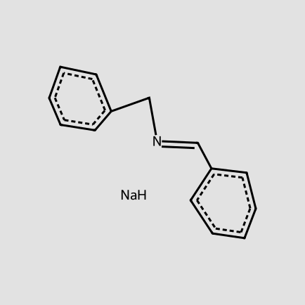 C(=N\Cc1ccccc1)/c1ccccc1.[NaH]